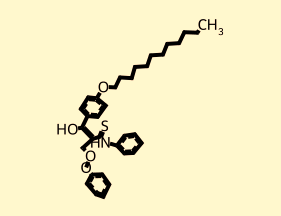 CCCCCCCCCCCCOc1ccc(/C(O)=C(/COOc2ccccc2)C(=S)Nc2ccccc2)cc1